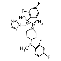 C[C@@H](N1CCC(N(C)c2ccc(F)cc2F)CC1)[C@](O)(Cn1cncn1)c1ccc(F)cc1F